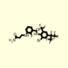 NC(=O)CCNc1cccc(C(=O)Nc2c(Br)cc(C(F)(C(F)(F)F)C(F)(F)F)cc2C(F)(F)F)c1F